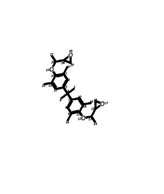 Cc1cc(C(C)(C)c2cc(C)c(OC(C)C3CO3)c(C)c2)cc(C)c1OC(C)C1CO1